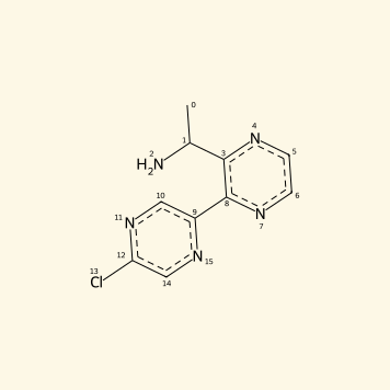 CC(N)c1nccnc1-c1cnc(Cl)cn1